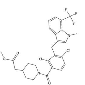 COC(=O)CC1CCN(C(=O)c2ccc(Cl)c(Cc3cn(C)c4c(C(F)(F)F)cccc34)c2Cl)CC1